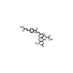 CC(C)C[C@H](NC(=O)[C@H](CCC(=O)O)NC(=O)CNC(=O)c1ccc(C=CC(=O)O)cc1)C(N)=O